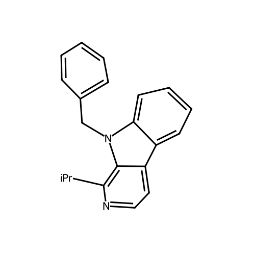 CC(C)c1nccc2c3ccccc3n(Cc3ccccc3)c12